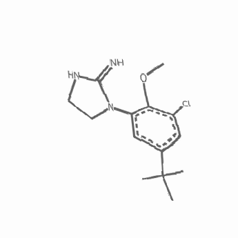 COc1c(Cl)cc(C(C)(C)C)cc1N1CCNC1=N